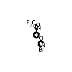 FC(F)(F)c1nc(-c2cc[c]c(Oc3ccc(Br)nc3)c2)no1